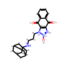 O=C1c2ccccc2C(=O)c2c1n[n+]([O-])n2CCCNC12CC3CC(CC(C3)C1)C2